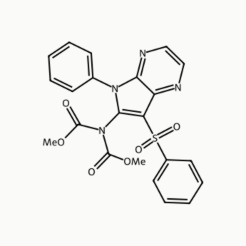 COC(=O)N(C(=O)OC)c1c(S(=O)(=O)c2ccccc2)c2nccnc2n1-c1ccccc1